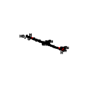 CC(C)C(NC(=O)CCCCCCCSCCCCCC(=O)NC(CCC(=O)NCCCOCCOCCOCCCNC(=O)CCC(=O)O)C(=O)OC(C)(C)C)C(=O)OC(C)(C)C